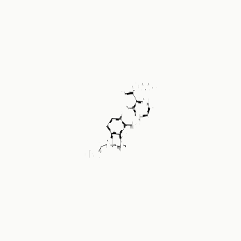 COC(=O)c1nccnc1Oc1ccc2c(nnn2CC(C)(C)C)c1Br